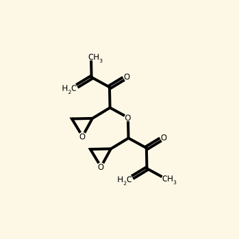 C=C(C)C(=O)C(OC(C(=O)C(=C)C)C1CO1)C1CO1